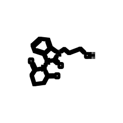 O=C1CCCC(=O)N1n1c(=O)n(CCCO)c2ccccc21